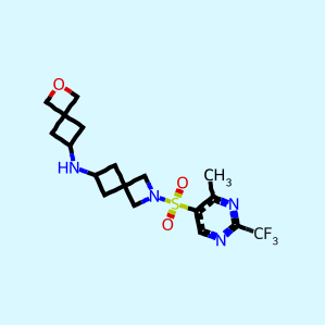 Cc1nc(C(F)(F)F)ncc1S(=O)(=O)N1CC2(CC(NC3CC4(COC4)C3)C2)C1